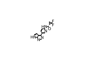 O=C(Nc1ccc(-c2ncnc3[nH]ccc23)cn1)[C@@H]1CC1(F)F